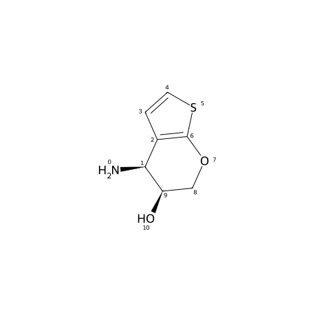 N[C@H]1c2ccsc2OC[C@H]1O